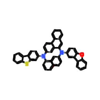 c1ccc(N(c2ccc3c(c2)sc2ccccc23)c2ccc3c(c2)c(N(c2ccccc2)c2ccc4oc5ccccc5c4c2)cc2ccccc23)cc1